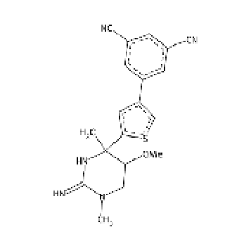 COC1CN(C)C(=N)NC1(C)c1cc(-c2cc(C#N)cc(C#N)c2)cs1